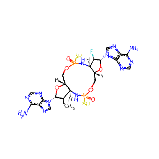 C[C@@H]1[C@@H]2NP(=O)(S)OC[C@H]3O[C@@H](n4cnc5c(N)ncnc54)[C@H](F)[C@@H]3NP(=O)(S)OC[C@H]2O[C@H]1n1cnc2c(N)ncnc21